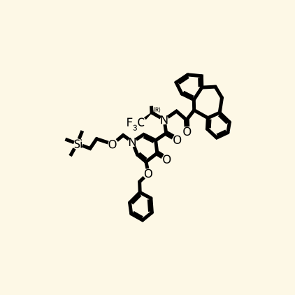 C[C@@H](N(CC(=O)C1c2ccccc2CCc2ccccc21)C(=O)c1cn(COCC[Si](C)(C)C)cc(OCc2ccccc2)c1=O)C(F)(F)F